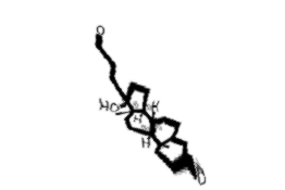 C[C@]12CCC(=O)C=C1C=C[C@@H]1[C@@H]2CC[C@@]2(C)[C@H]1CC[C@@]2(O)CCC=O